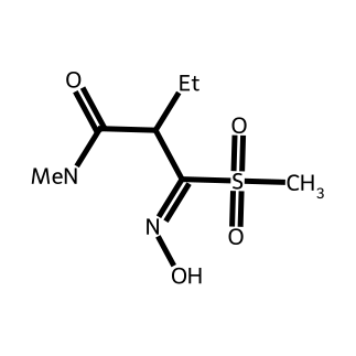 CCC(C(=O)NC)C(=NO)S(C)(=O)=O